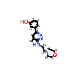 Cc1cc(-c2cccc(O)c2)nnc1NCCN1CCOCC1